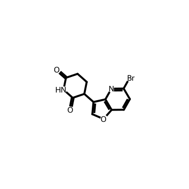 O=C1CCC(c2coc3ccc(Br)nc23)C(=O)N1